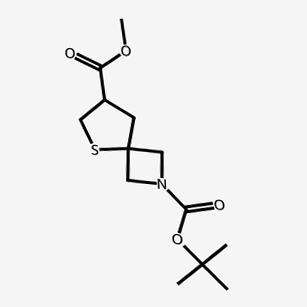 COC(=O)C1CSC2(C1)CN(C(=O)OC(C)(C)C)C2